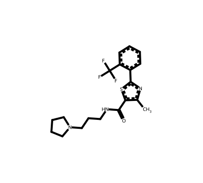 Cc1nc(-c2ccccc2C(F)(F)F)sc1C(=O)NCCCN1CCCC1